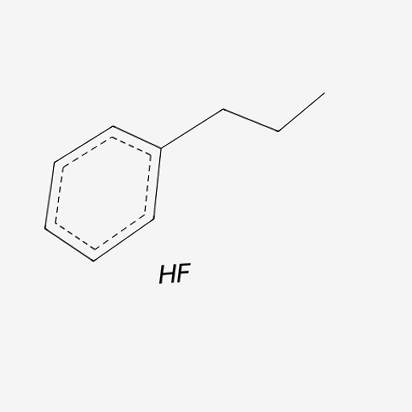 CCCc1ccccc1.F